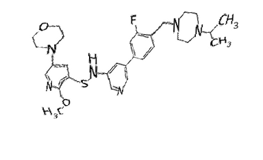 COc1ncc(N2CCOCC2)cc1SNc1cncc(-c2ccc(CN3CCN(C(C)C)CC3)c(F)c2)c1